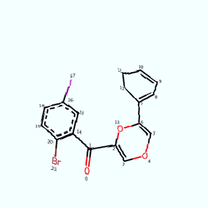 O=C(C1=COC=C(C2=CC=CCC2)O1)c1cc(I)ccc1Br